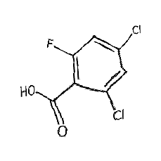 O=C(O)c1c(F)cc(Cl)cc1Cl